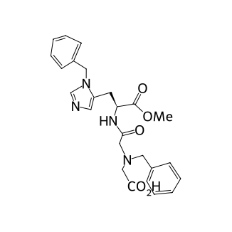 COC(=O)[C@H](Cc1cncn1Cc1ccccc1)NC(=O)CN(CC(=O)O)Cc1ccccc1